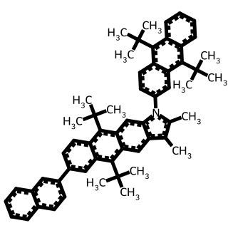 Cc1c(C)n(-c2ccc3c(C(C)(C)C)c4ccccc4c(C(C)(C)C)c3c2)c2cc3c(C(C)(C)C)c4ccc(-c5ccc6ccccc6c5)cc4c(C(C)(C)C)c3cc12